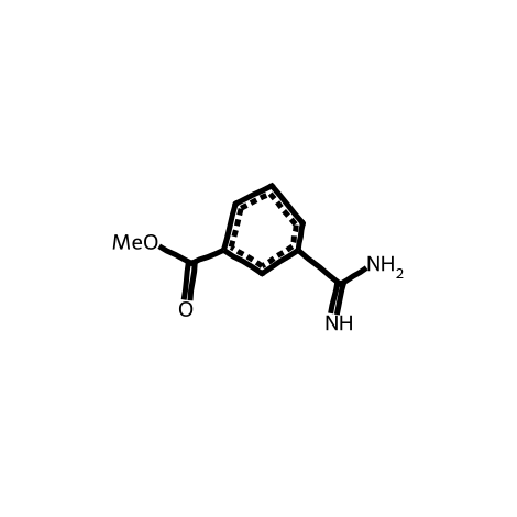 COC(=O)c1cccc(C(=N)N)c1